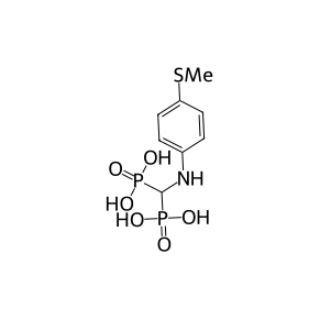 CSc1ccc(NC(P(=O)(O)O)P(=O)(O)O)cc1